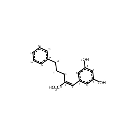 O=C(O)/C(=C/c1cc(O)cc(O)c1)CCCc1ccccc1